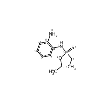 CCOP(=S)(CC)Nc1ccccc1N